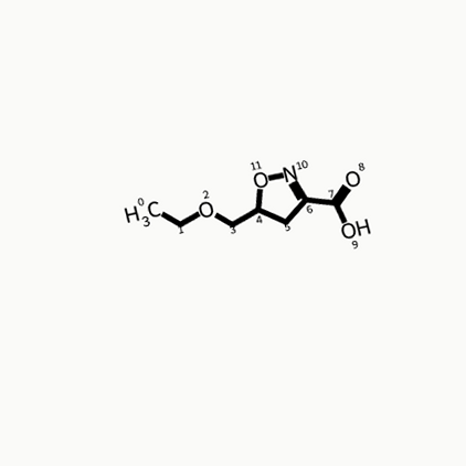 CCOCC1CC(C(=O)O)=NO1